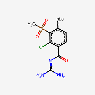 CCCCc1ccc(C(=O)N=C(N)N)c(Cl)c1S(C)(=O)=O